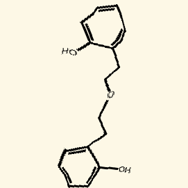 Oc1ccccc1CCOCCc1ccccc1O